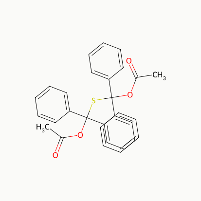 CC(=O)OC(SC(OC(C)=O)(c1ccccc1)c1ccccc1)(c1ccccc1)c1ccccc1